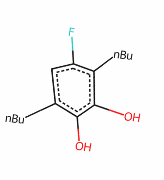 CCCCc1cc(F)c(CCCC)c(O)c1O